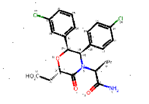 CCCC(C(N)=O)N1C(=O)[C@H](CC(=O)O)O[C@@H](c2cccc(Cl)c2)[C@H]1c1ccc(Cl)cc1